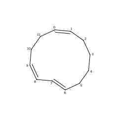 [C]1=C\CCCC/C=C/C=C\CC/1